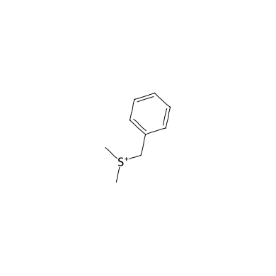 C[S+](C)Cc1ccccc1